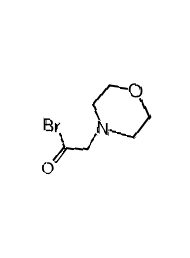 O=C(Br)CN1CCOCC1